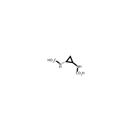 O=C(O)NC1C[C@H]1NC(=O)O